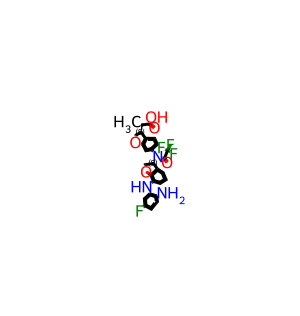 CC(C(=O)O)[C@@H]1COc2cc(N(C(=O)C(F)(F)F)[C@@H]3COc4c(Nc5cc(F)ccc5N)cccc43)ccc21